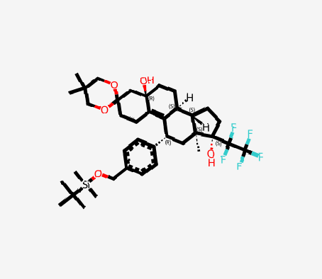 CC1(C)COC2(CCC3=C4[C@@H](CC[C@@]3(O)C2)[C@@H]2CC[C@@](O)(C(F)(F)C(F)(F)F)[C@@]2(C)C[C@@H]4c2ccc(CO[Si](C)(C)C(C)(C)C)cc2)OC1